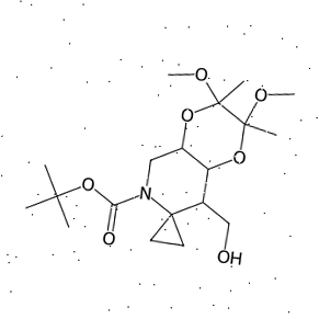 COC1(C)OC2CN(C(=O)OC(C)(C)C)C3(CC3)C(CO)C2OC1(C)OC